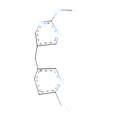 COc1ccc(Cc2cnc(N[N+](=O)[O-])nc2)cn1